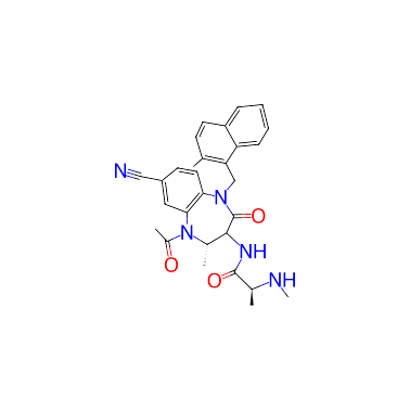 CN[C@@H](C)C(=O)NC1C(=O)N(Cc2c(C)ccc3ccccc23)c2ccc(C#N)cc2N(C(C)=O)[C@H]1C